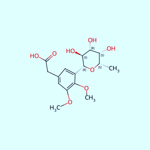 COc1cc(CC(=O)O)cc([C@H]2O[C@@H](C)[C@@H](O)[C@@H](O)[C@@H]2O)c1OC